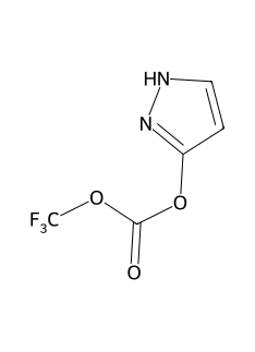 O=C(Oc1cc[nH]n1)OC(F)(F)F